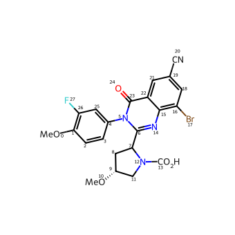 COc1ccc(-n2c(C3C[C@@H](OC)CN3C(=O)O)nc3c(Br)cc(C#N)cc3c2=O)cc1F